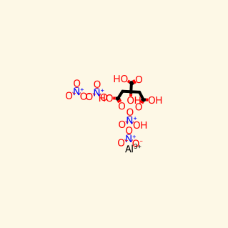 O=C(O)CC(O)(CC(=O)O)C(=O)O.O=[N+]([O-])O.O=[N+]([O-])[O-].O=[N+]([O-])[O-].O=[N+]([O-])[O-].[Al+3]